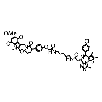 COC1=CC(=O)c2c(c(CN3C(=O)CCC(c4ccc(OCC(=O)NCCCCCNC(=O)C[C@@H]5N=C(c6ccc(Cl)cc6)c6c(sc(C)c6C)-n6c(C)nnc65)cc4)C3=O)c(C)n2C)C1=O